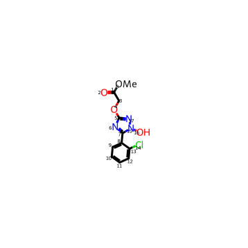 COC(=O)COc1nc(-c2ccccc2Cl)n(O)n1